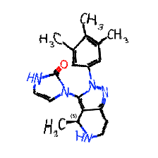 Cc1cc(-n2nc3c(c2-n2cc[nH]c2=O)[C@H](C)NCC3)cc(C)c1C